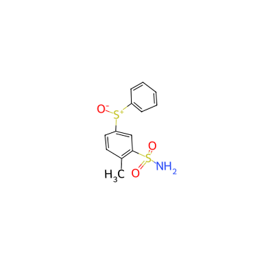 Cc1ccc([S+]([O-])c2ccccc2)cc1S(N)(=O)=O